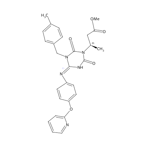 COC(=O)C[C@@H](C)n1c(=O)[nH]/c(=N\c2ccc(Oc3ccccn3)cc2)n(Cc2ccc(C)cc2)c1=O